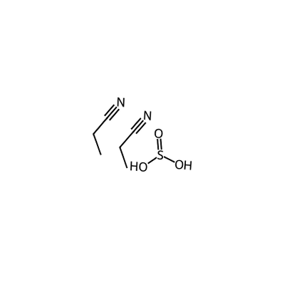 CCC#N.CCC#N.O=S(O)O